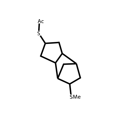 CSC1CC2CC1C1CC(SC(C)=O)CC21